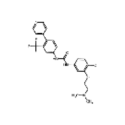 CN(C)CCOc1cc(NC(=O)Nc2ccc(-c3ccncc3)c(C(F)(F)F)c2)ccc1Cl